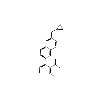 C=C(C)C(=C\N)/C(=C\C)c1ccc2cc(CC3CC3)ccc2c1